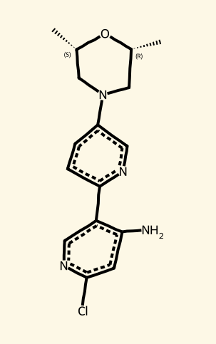 C[C@@H]1CN(c2ccc(-c3cnc(Cl)cc3N)nc2)C[C@H](C)O1